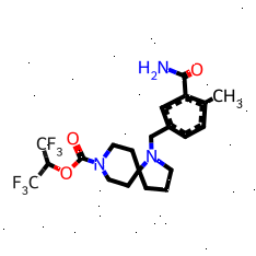 Cc1ccc(CN2CCCC23CCN(C(=O)OC(C(F)(F)F)C(F)(F)F)CC3)cc1C(N)=O